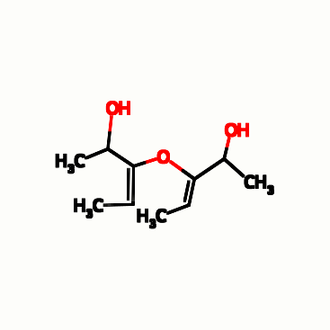 CC=C(OC(=CC)C(C)O)C(C)O